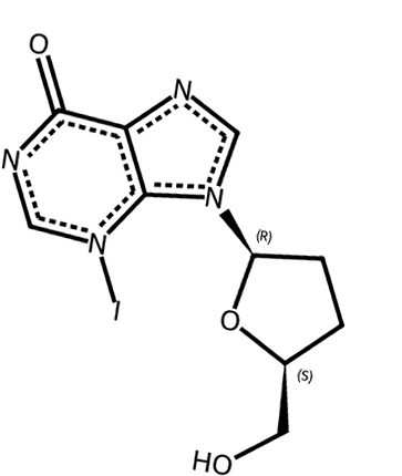 O=c1ncn(I)c2c1ncn2[C@H]1CC[C@@H](CO)O1